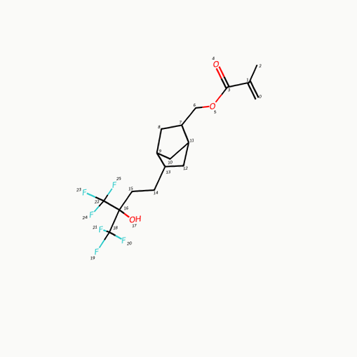 C=C(C)C(=O)OCC1CC2CC1CC2CCC(O)(C(F)(F)F)C(F)(F)F